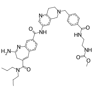 CCCN(CCC)C(=O)C1=Cc2ccc(C(=O)Nc3cnc4c(c3)CN(Cc3ccc(C(=O)NCCNC(=O)OC)cc3)CC4)cc2N=C(N)C1